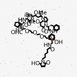 CC[C@H](C)[C@@H]([C@@H](CC(=O)N1CCC[C@H]1[C@H](OC)[C@@H](C)C(=O)N[C@@H](Cc1ccccc1)C(=O)Nc1ccc(CNC(=O)CCCCCN2C(=O)C=CC2O)cc1)OC)N(C)C(=O)[C@@H](NC(=O)[C@@H]1[C@H]2CC[C@@H]([C@H]2C)N1C(C=O)COCCOCCOCCOCCO)C(C)C